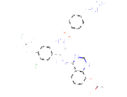 CC(=O)Oc1cccc2c(N[C@H](CNS(=O)(=O)c3ccc(CNN)cc3)c3ccc(OC(F)(F)F)c(Cl)c3)nc(C)nc12